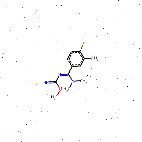 COC(=N)/N=C(/c1ccc(F)c(C)c1)N(C)C